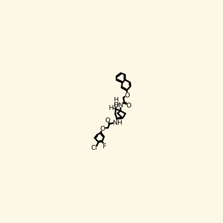 O=C(COc1ccc(Cl)c(F)c1)NC1=C2CC(NC(=O)COc3ccc4ccccc4c3)(C2)[C@@H](O)C1